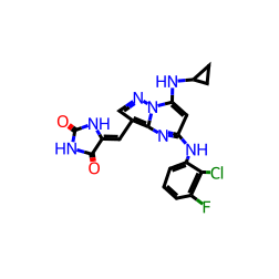 O=C1NC(=O)/C(=C/c2cnn3c(NC4CC4)cc(Nc4cccc(F)c4Cl)nc23)N1